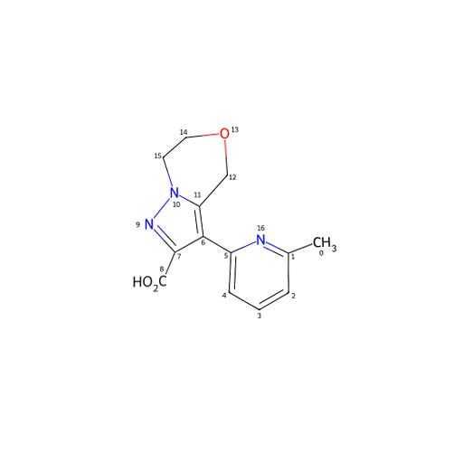 Cc1cccc(-c2c(C(=O)O)nn3c2COCC3)n1